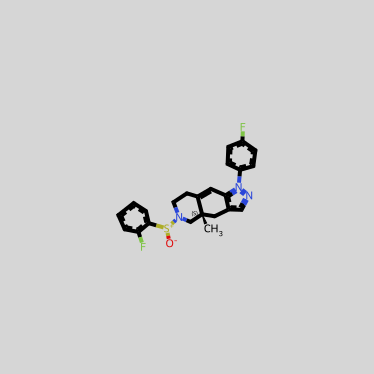 C[C@]12Cc3cnn(-c4ccc(F)cc4)c3C=C1CCN([S+]([O-])c1ccccc1F)C2